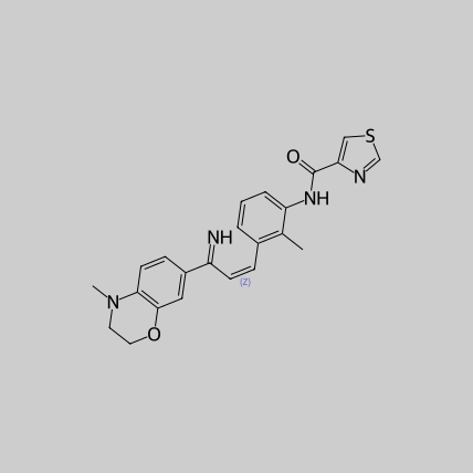 Cc1c(/C=C\C(=N)c2ccc3c(c2)OCCN3C)cccc1NC(=O)c1cscn1